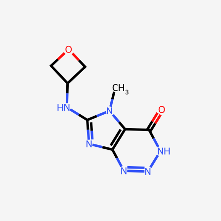 Cn1c(NC2COC2)nc2nn[nH]c(=O)c21